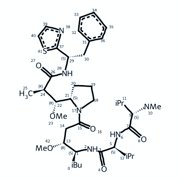 CCC(C)[C@H](NC(=O)[C@@H](NC(=O)[C@@H](NC)C(C)C)C(C)C)[C@@H](CC(=O)N1CCC[C@H]1[C@H](OC)[C@@H](C)C(=O)N[C@@H](Cc1ccccc1)c1nccs1)OC